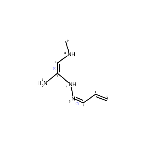 C=C/C=N\N/C(N)=C\NC